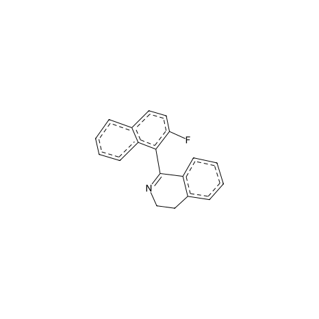 Fc1ccc2ccccc2c1C1=NCCc2ccccc21